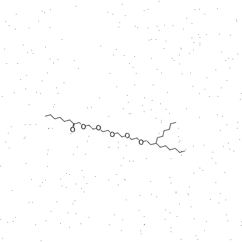 CCCCCCC(=O)COCCOCCOCCOCCOCCC(CCCCCC)CCCCCC